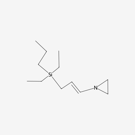 CCC[Si](CC)(CC)CC=CN1CC1